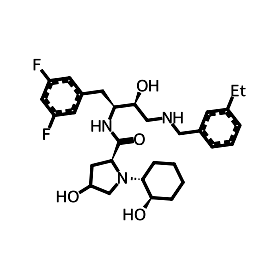 CCc1cccc(CNC[C@H](O)[C@H](Cc2cc(F)cc(F)c2)NC(=O)[C@@H]2CC(O)CN2[C@@H]2CCCC[C@H]2O)c1